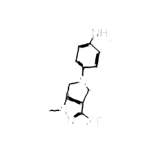 Cn1nc(C(F)(F)F)c2c1CN(c1ccc(N)cc1)C2